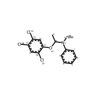 CCCCN(c1ccccc1)C(C)Oc1cc(Cl)c(Cl)cc1Cl